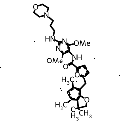 COc1nc(NCCCN2CCOCC2)nc(OC)c1NC(=O)c1ccc(Cc2c(C)cc(C)c3c2OCC3(C)C)o1